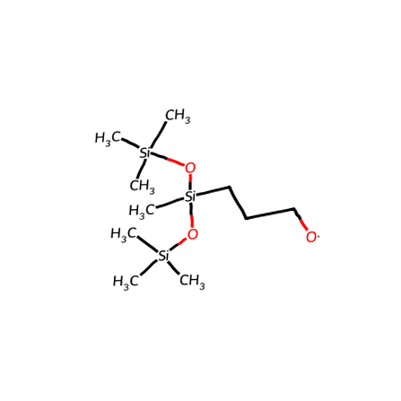 C[Si](C)(C)O[Si](C)(CCC[O])O[Si](C)(C)C